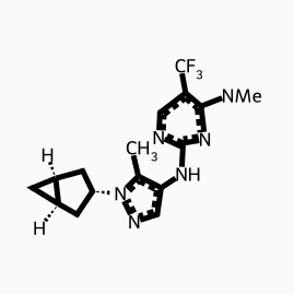 CNc1nc(Nc2cnn([C@@H]3C[C@H]4C[C@H]4C3)c2C)ncc1C(F)(F)F